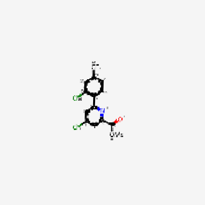 COC(=O)c1cc(Cl)cc(-c2ccc(C(F)(F)F)cc2Cl)n1